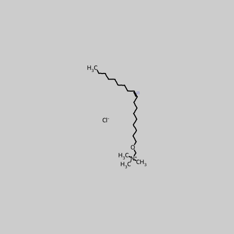 CCCCCCCC/C=C\CCCCCCCCOC[N+](C)(C)C.[Cl-]